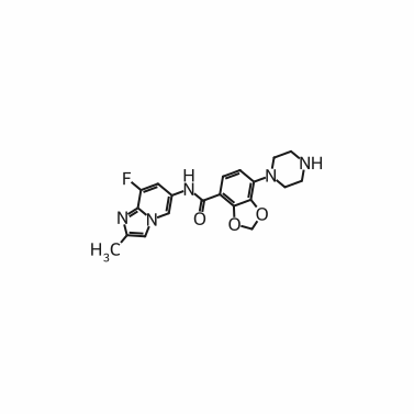 Cc1cn2cc(NC(=O)c3ccc(N4CCNCC4)c4c3OCO4)cc(F)c2n1